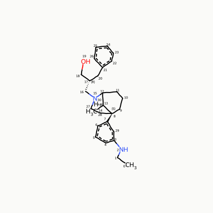 CCNc1cccc([C@]23CCCC([C@@H]2C)N(C[C@H](CO)Cc2ccccc2)CC3)c1